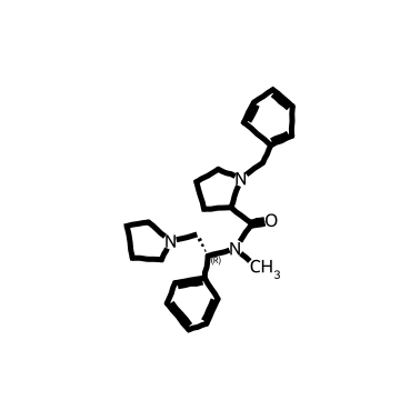 CN(C(=O)C1CCCN1Cc1ccccc1)[C@@H](CN1CCCC1)c1ccccc1